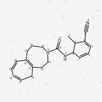 CC1C(C#N)=CC=CC1NC(=O)N1CCCC2=C(CC=CC=C2)CC1